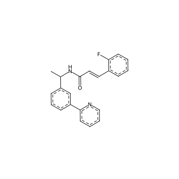 CC(NC(=O)C=Cc1ccccc1F)c1cccc(-c2ccccn2)c1